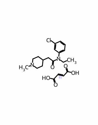 CCN(C(=O)CC1CCN(C)CC1)c1cccc(Cl)c1.O=C(O)/C=C/C(=O)O